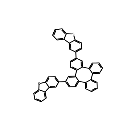 c1ccc2c(c1)-c1ccccc1-c1cc(-c3ccc4sc5ccccc5c4c3)ccc1-c1cc(-c3ccc4sc5ccccc5c4c3)ccc1-2